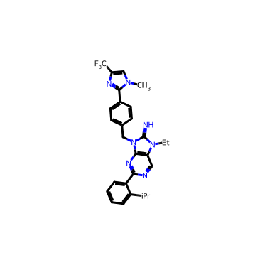 CCn1c(=N)n(Cc2ccc(-c3nc(C(F)(F)F)cn3C)cc2)c2nc(-c3ccccc3C(C)C)ncc21